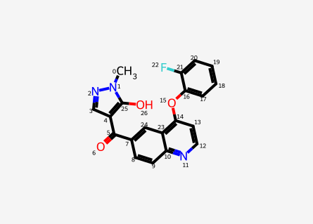 Cn1ncc(C(=O)c2ccc3nccc(Oc4ccccc4F)c3c2)c1O